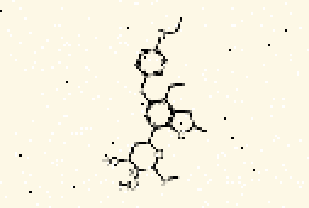 CCOc1ccc(Cc2cc(C3CC(O)[C@H](O)C(SC)O3)c3c(c2CC)CC(C)O3)cc1